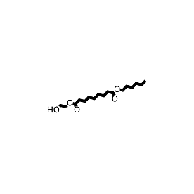 CCCCCCOC(=O)CCCCCCCC(=O)OCCO